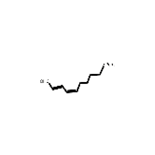 CCCCCCCCC/C=C\C=C\C=O